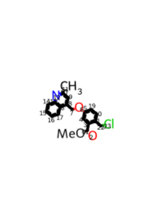 COC(=O)c1cc(OCc2cc(C)nc3ccccc23)ccc1CCl